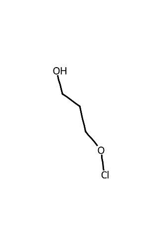 OCCCOCl